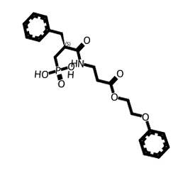 O=C(CCNC(=O)[C@H](Cc1ccccc1)CP(=O)(O)O)OCCOc1ccccc1